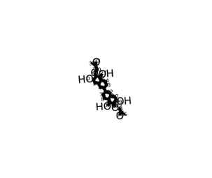 Oc1cc2cc(-c3ccc4c(O)c(OCC5CO5)c(O)cc4c3)ccc2c(O)c1OCC1CO1